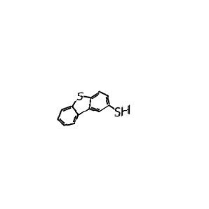 Sc1ccc2sc3ccccc3c2c1